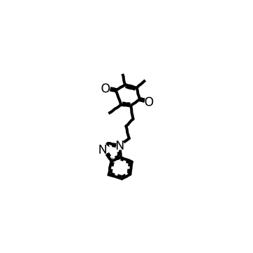 CC1=C(C)C(=O)C(CCCn2cnc3ccccc32)=C(C)C1=O